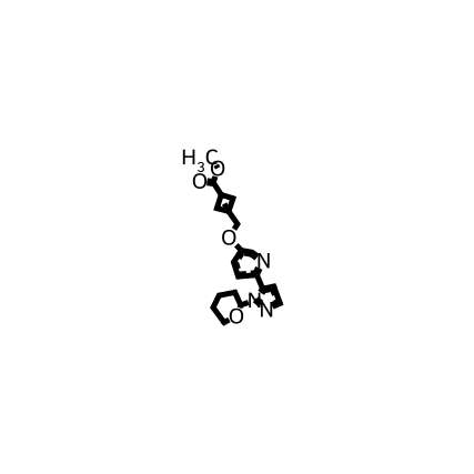 COC(=O)C12CC(COc3ccc(-c4ccnn4C4CCCCO4)nc3)(C1)C2